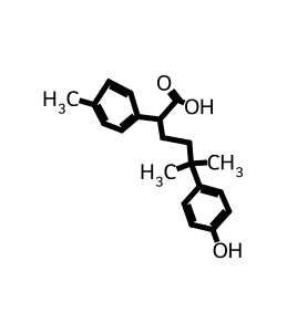 Cc1ccc(C(CCC(C)(C)c2ccc(O)cc2)C(=O)O)cc1